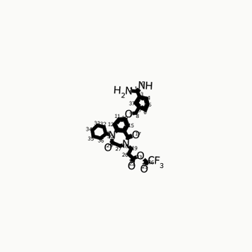 N=C(N)c1cccc(COc2ccc3c(c2)C(=O)N(CCC(=O)OC(=O)C(F)(F)F)CC(=O)N3C2CCCCC2)c1